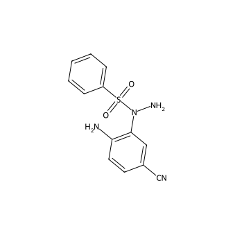 N#Cc1ccc(N)c(N(N)S(=O)(=O)c2ccccc2)c1